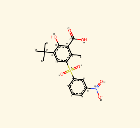 Cc1c(S(=O)(=O)c2cccc([N+](=O)[O-])c2)cc(C(C)(C)C)c(O)c1C(=O)O